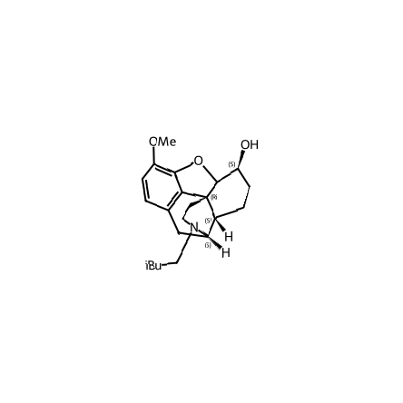 CCC(C)CN1CC[C@@]23c4c5ccc(OC)c4OC2[C@@H](O)CC[C@@H]3[C@@H]1C5